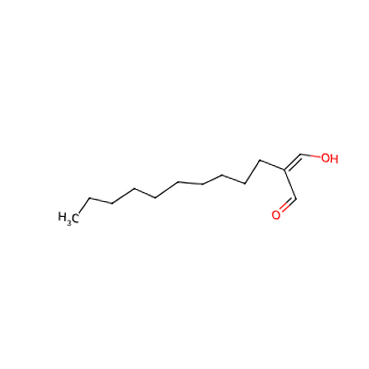 CCCCCCCCCC/C(C=O)=C/O